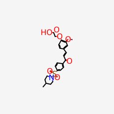 COc1cc(C=CC(=O)c2ccc(S(=O)(=O)N3CCC(C)CC3)cc2)ccc1OCC(=O)O